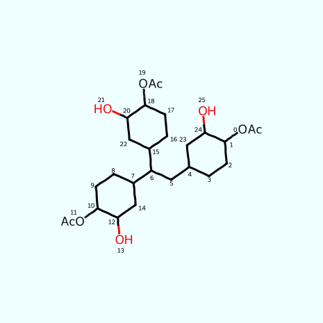 CC(=O)OC1CCC(CC(C2CCC(OC(C)=O)C(O)C2)C2CCC(OC(C)=O)C(O)C2)CC1O